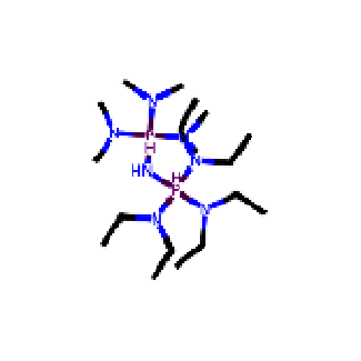 CCN(CC)[PH](N[PH](N(C)C)(N(C)C)N(C)C)(N(CC)CC)N(CC)CC